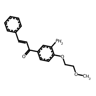 COCCOc1ccc(C(=O)/C=C/c2ccccc2)cc1P